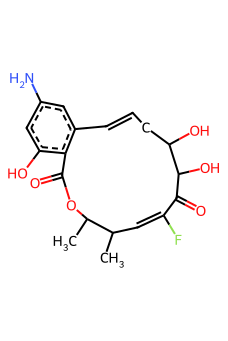 CC1/C=C(/F)C(=O)C(O)C(O)C/C=C/c2cc(N)cc(O)c2C(=O)OC1C